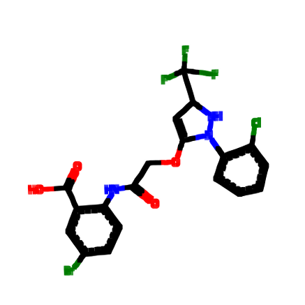 O=C(COC1=CC(C(F)(F)F)NN1c1ccccc1Cl)Nc1ccc(Br)cc1C(=O)O